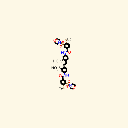 CCSc1ccc(C(=O)Nc2ccc(/C=C/c3ccc(NC(=O)c4ccc(SCC)c(S(=O)(=O)N5CCOCC5)c4)cc3S(=O)(=O)O)c(S(=O)(=O)O)c2)cc1S(=O)(=O)N1CCOCC1